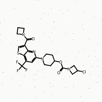 O=C(OC1CCN(c2cc(C(F)(F)F)c3scc(C(=O)N4CCC4)c3n2)CC1)N1CC(Cl)C1